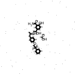 CC(Cc1ccc(OCC(F)(F)c2ccccc2)cc1)NC[C@@H](O)c1ccc(O)c(C(N)=O)c1.O=CO